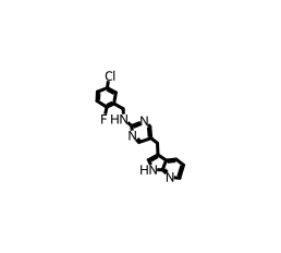 Fc1ccc(Cl)cc1CNc1ncc(Cc2c[nH]c3ncccc23)cn1